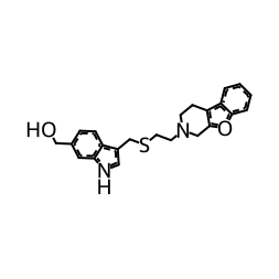 OCc1ccc2c(CSCCN3CCc4c(oc5ccccc45)C3)c[nH]c2c1